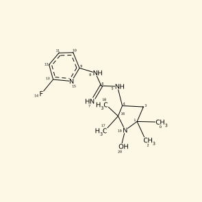 CC1(C)CC(NC(=N)Nc2cccc(F)n2)C(C)(C)N1O